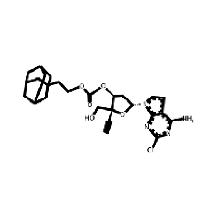 C#C[C@]1(CO)O[C@@H](n2ccc3c(N)nc(Cl)nc32)C[C@@H]1OC(=O)OCCC12CC3CC(CC(C3)C1)C2